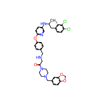 CC(Cc1ccc(Cl)c(Cl)c1)Nc1ccc(Oc2ccc(CNCC(=O)N3CCN(Cc4ccc5c(c4)OCO5)CC3)cc2)nc1